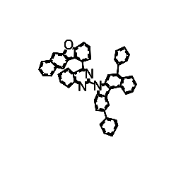 c1ccc(-c2ccc3c(c2)c2c4ccccc4c(-c4ccccc4)cc2n3-c2nc(-c3cccc4oc5cc6ccccc6cc5c34)c3ccccc3n2)cc1